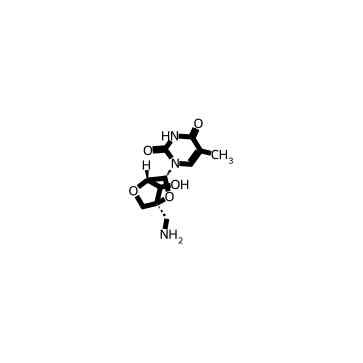 Cc1cn([C@@H]2O[C@@]3(CN)CO[C@H]2C3O)c(=O)[nH]c1=O